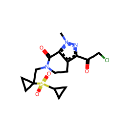 Cn1nc(C(=O)CCl)c2c1C(=O)N(CC1(S(=O)(=O)C3CC3)CC1)CC2